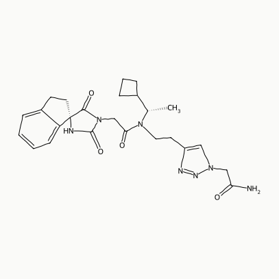 C[C@@H](C1CCC1)N(CCc1cn(CC(N)=O)nn1)C(=O)CN1C(=O)N[C@]2(CCc3ccccc32)C1=O